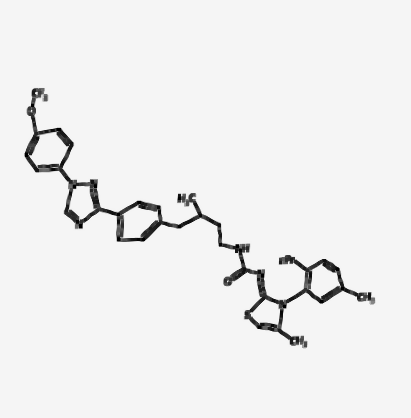 CCCc1ccc(C)cc1-n1c(C)cs/c1=N\C(=O)NCCC(C)Cc1ccc(-c2ncn(-c3ccc(OC(F)(F)F)cc3)n2)cc1